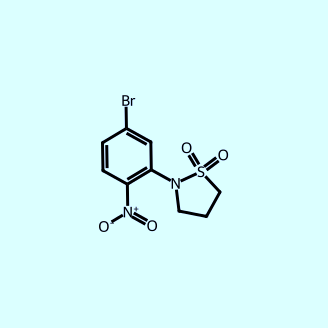 O=[N+]([O-])c1ccc(Br)cc1N1CCCS1(=O)=O